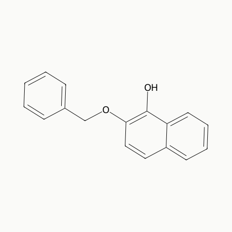 Oc1c(OCc2ccccc2)ccc2ccccc12